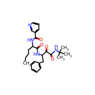 CCCCC(NC(=O)c1cccnc1)C(=O)NC(Cc1ccccc1)C(=O)C(=O)NC(C)(C)C